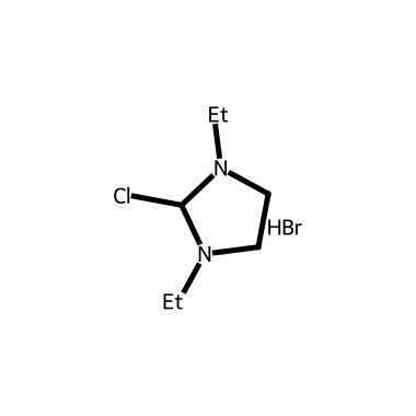 Br.CCN1CCN(CC)C1Cl